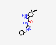 C#CC1(C)CCc2c(C(=O)Nc3cnn(Cc4ccccc4)c3)n[nH]c2C1